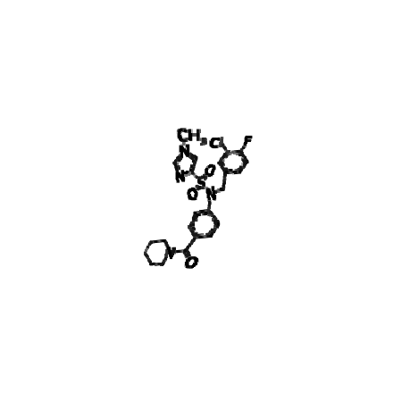 Cn1cnc(S(=O)(=O)N(Cc2ccc(F)c(Cl)c2)c2ccc(C(=O)N3CCCCC3)cc2)c1